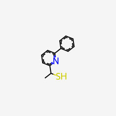 CC(S)c1cccc(-c2ccccc2)n1